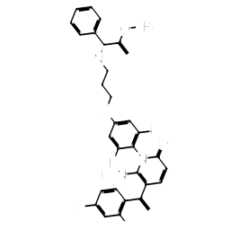 C=C(c1ccc(F)cc1F)c1ccc(=O)n(-c2c(F)cc(OCCCN[C@H](C(=C)OC(C)(C)C)c3ccccc3)cc2F)c1N